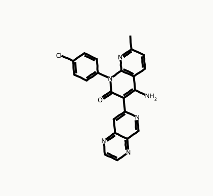 Cc1ccc2c(N)c(-c3cc4nccnc4cn3)c(=O)n(-c3ccc(Cl)cc3)c2n1